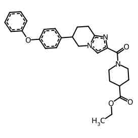 CCOC(=O)C1CCN(C(=O)c2cn3c(n2)CCC(c2ccc(Oc4ccccc4)cc2)C3)CC1